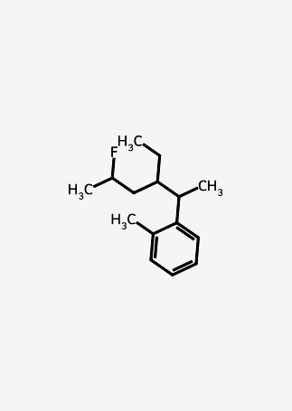 CCC(CC(C)F)C(C)c1ccccc1C